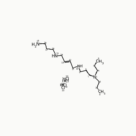 CCCN(CCC)CCCNCC=CCNCCCN.Cl.Cl.Cl.Cl